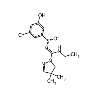 CCN/C(=N\[S+]([O-])c1cc(O)cc(Cl)c1)N1CC(C)(C)C=N1